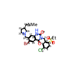 CCS(=O)(=O)c1ccc(Cl)cc1Cn1c(=O)[nH]c2cc(CN3CC[C@@H](CNC)C3)c(Br)cc2c1=O